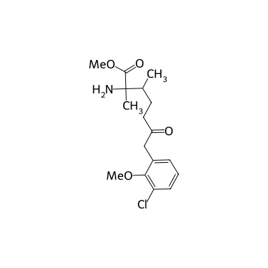 COC(=O)C(C)(N)C(C)CCC(=O)Cc1cccc(Cl)c1OC